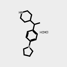 CC(c1ccc(N2CCCC2)cc1)C1CCNCC1.Cl.Cl